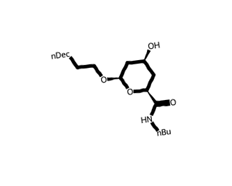 CCCCCCCCCCCCO[C@H]1C[C@@H](O)C[C@@H](C(=O)NCCCC)O1